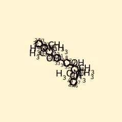 CC1(C)CC(O)(c2ccc(-c3ccc(C4(O)CC(C)(C)N(Cc5ccccc5)C(C)(C)C4)cc3)cc2)CC(C)(C)N1Cc1ccccc1